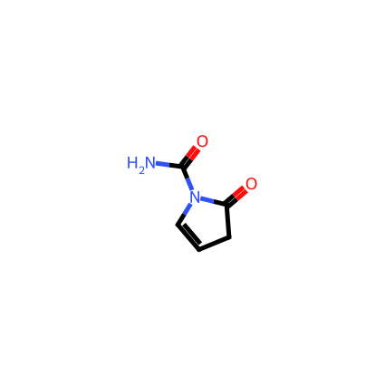 NC(=O)N1C=CCC1=O